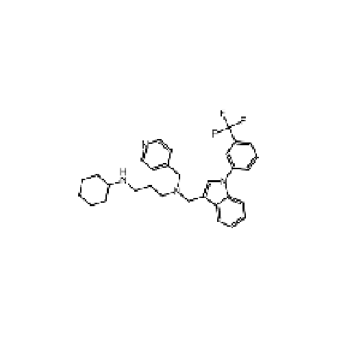 FC(F)(F)c1cccc(-n2cc(CN(CCCNC3CCCCC3)Cc3ccncc3)c3ccccc32)c1